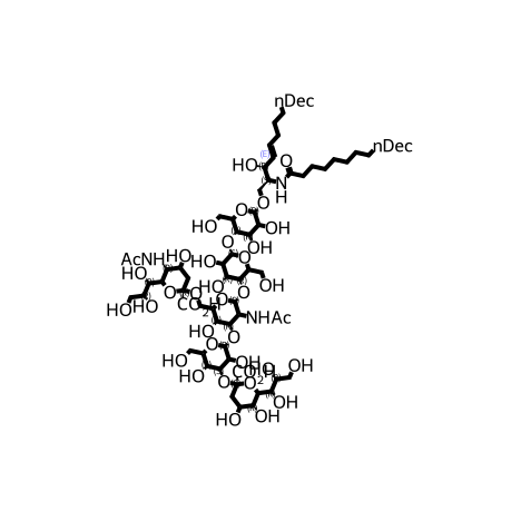 CCCCCCCCCCCCC/C=C/[C@@H](O)[C@H](CO[C@@H]1OC(CO)[C@@H](O[C@@H]2OC(CO)[C@H](O[C@@H]3OC(CO[C@]4(C(=O)O)CC(O)[C@@H](NC(C)=O)C([C@H](O)[C@H](O)CO)O4)[C@H](O)[C@H](O[C@@H]4OC(CO)[C@H](O)[C@H](O[C@]5(C(=O)O)CC(O)[C@@H](O)C([C@H](O)[C@H](O)CO)O5)C4O)C3NC(C)=O)[C@H](O)C2O)[C@H](O)C1O)NC(=O)CCCCCCCCCCCCCCCCC